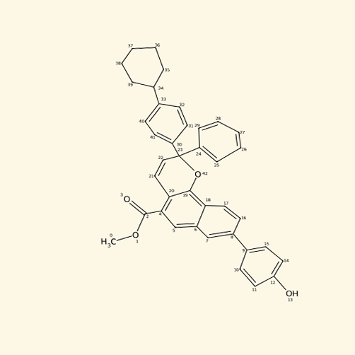 COC(=O)c1cc2cc(-c3ccc(O)cc3)ccc2c2c1C=CC(c1ccccc1)(c1ccc(C3CCCCC3)cc1)O2